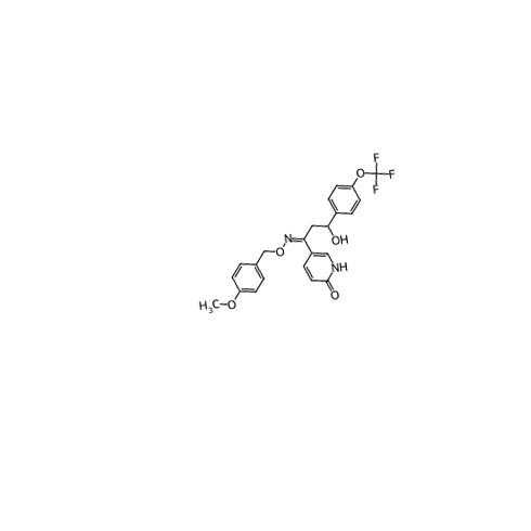 COc1ccc(CON=C(CC(O)c2ccc(OC(F)(F)F)cc2)c2ccc(=O)[nH]c2)cc1